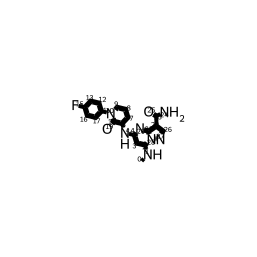 CNc1cc(Nc2cccn(-c3ccc(F)cc3)c2=O)nc2c(C(N)=O)cnn12